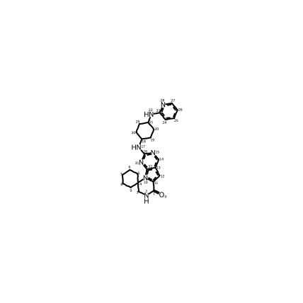 O=C1NCC2(CCCCC2)n2c1cc1cnc(NC3CCC(Nc4ccccn4)CC3)nc12